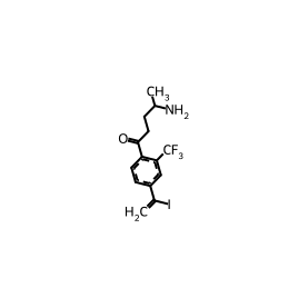 C=C(I)c1ccc(C(=O)CCC(C)N)c(C(F)(F)F)c1